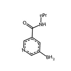 Bc1cncc(C(=O)NCCC)c1